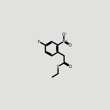 CCSC(=O)Cc1ccc(F)cc1[N+](=O)[O-]